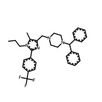 CCCn1c(-c2ccc(C(F)(F)F)cc2)nc(CN2CCN(C(c3ccccc3)c3ccccc3)CC2)c1C